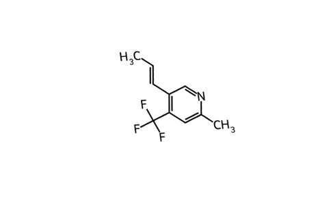 C/C=C/c1cnc(C)cc1C(F)(F)F